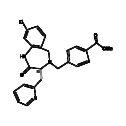 COC(=O)c1ccc(CN2Cc3ccc(Cl)cc3NC(=O)[C@H]2Cc2ccccn2)cc1